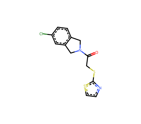 O=C(CSc1nccs1)N1Cc2ccc(Cl)cc2C1